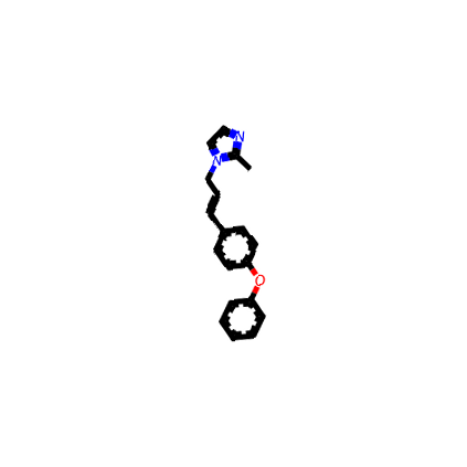 Cc1nccn1CC=Cc1ccc(Oc2ccccc2)cc1